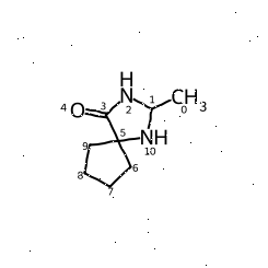 CC1NC(=O)C2(CCCC2)N1